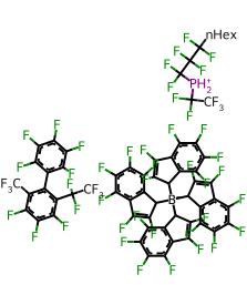 CCCCCCC(F)(F)C(F)(F)C(F)(F)[PH2+]C(F)(F)C(F)(F)F.FC1=C(F)C([B-](C2C(F)=C(F)c3c(F)c(F)c(F)c(F)c32)(C2C(F)=C(F)c3c(F)c(F)c(F)c(F)c32)C2C(F)=C(F)c3c(F)c(F)c(F)c(F)c32)c2c(F)c(F)c(F)c(F)c21.Fc1c(F)c(F)c(-c2c(C(F)(F)F)c(F)c(F)c(F)c2C(F)(F)C(F)(F)F)c(F)c1F